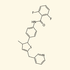 CC1C=C(Cc2cccnc2)SC1c1ccc(NC(=O)c2c(F)cccc2F)cc1